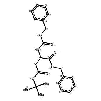 CCCCC(CCCC)(CCCC)OC(=O)C[C@H](NC(=O)OCc1ccccc1)C(=O)OCc1ccccc1